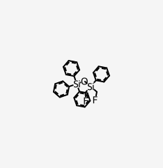 FC[Si](CF)(O[Si](c1ccccc1)(c1ccccc1)c1ccccc1)c1ccccc1